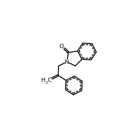 C=C(CN1Cc2ccccc2C1=O)c1ccccc1